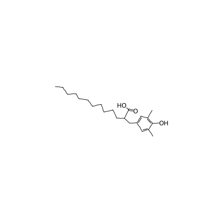 CCCCCCCCCCCC(Cc1cc(C)c(O)c(C)c1)C(=O)O